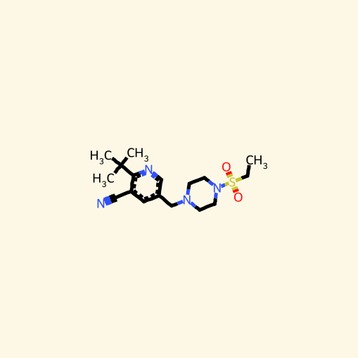 CCS(=O)(=O)N1CCN(Cc2cnc(C(C)(C)C)c(C#N)c2)CC1